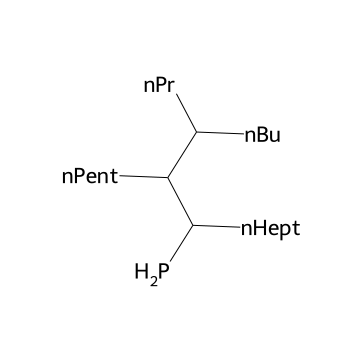 CCCCCCCC(P)C(CCCCC)C(CCC)CCCC